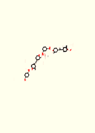 COc1ccc(C(C)(C)c2ccc(OC(=O)c3cccc(C(=O)Oc4ccc(C(C)(C)c5ccc(OC(=O)c6ccc(C(C)=O)cc6)c(C)c5)cc4C)c3)c(C)c2)cc1C